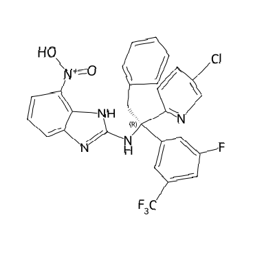 O=[N+](O)c1cccc2nc(N[C@](Cc3ccccc3)(c3cc(F)cc(C(F)(F)F)c3)c3ccc(Cl)cn3)[nH]c12